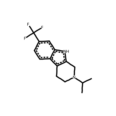 CC(C)N1CCc2c([nH]c3cc(C(F)(F)F)ccc23)C1